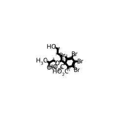 CC(O)COC(CCCO)C1(C(=O)O)C(Br)=C(Br)C(Br)=C(Br)C1C(=O)O